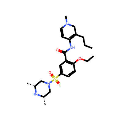 CCCC1=C(NC(=O)c2cc(S(=O)(=O)N3C[C@@H](C)N[C@@H](C)C3)ccc2OCC)C=CN(C)C1